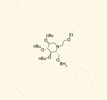 BOC[C@@H]1[C@@H](OCCCC)[C@H](OCCCC)[C@@H](OCCCC)CN1CCOCC